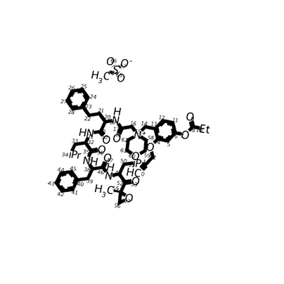 C#CCOc1cc(OC(=O)CC)ccc1C[N+]1(CC(=O)NC(CCc2ccccc2)C(=O)NC(CC(C)C)C(=O)NC(Cc2ccccc2)C(=O)NC(CC(C)C)C(=O)[C@@]2(C)CO2)CCOCC1.CS(=O)(=O)[O-]